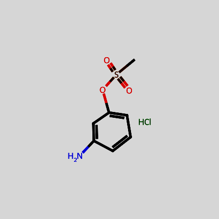 CS(=O)(=O)Oc1cccc(N)c1.Cl